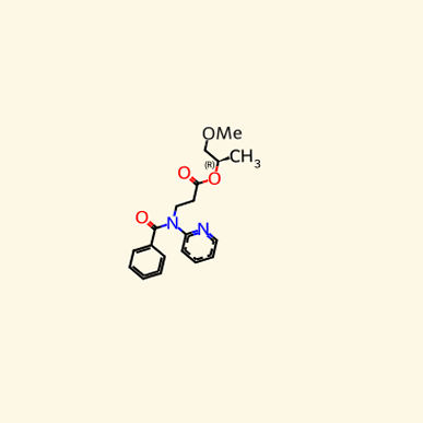 COC[C@@H](C)OC(=O)CCN(C(=O)C1=CC=C=C=C1)c1ccccn1